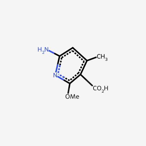 COc1nc(N)cc(C)c1C(=O)O